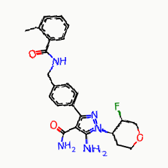 Cc1ccccc1C(=O)NCc1ccc(-c2nn([C@@H]3CCOC[C@@H]3F)c(N)c2C(N)=O)cc1